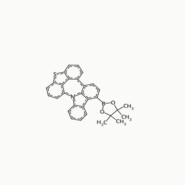 CC1(C)OB(c2ccc3c4cccc5sc6cccc(c6c54)n4c5ccccc5c2c34)OC1(C)C